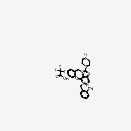 N#Cc1ccccc1Cn1ncc2nc(N3CCNCC3)n(Cc3ccccc3)c2c1=O.O=C(O)C(F)(F)F